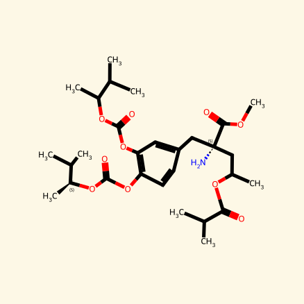 COC(=O)[C@](N)(Cc1ccc(OC(=O)O[C@@H](C)C(C)C)c(OC(=O)OC(C)C(C)C)c1)CC(C)OC(=O)C(C)C